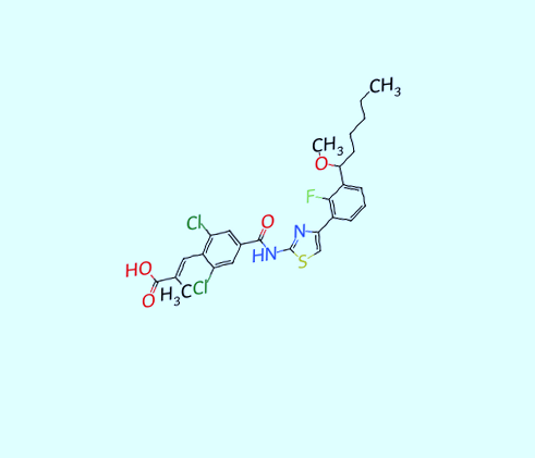 CCCCCC(OC)c1cccc(-c2csc(NC(=O)c3cc(Cl)c(/C=C(\C)C(=O)O)c(Cl)c3)n2)c1F